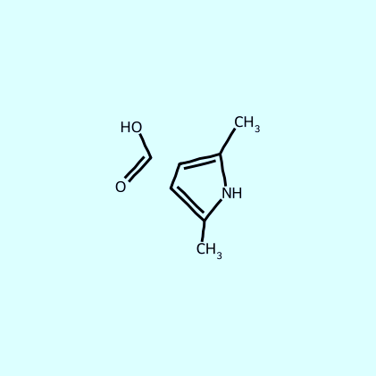 Cc1ccc(C)[nH]1.O=CO